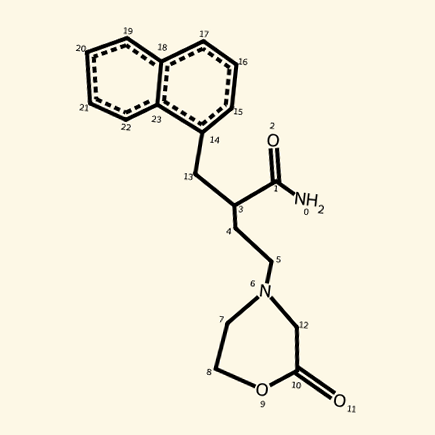 NC(=O)C(CCN1CCOC(=O)C1)Cc1cccc2ccccc12